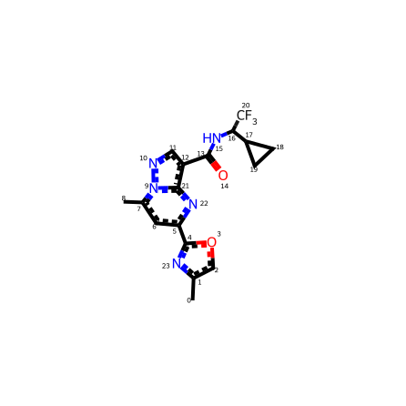 Cc1coc(-c2cc(C)n3ncc(C(=O)NC(C4CC4)C(F)(F)F)c3n2)n1